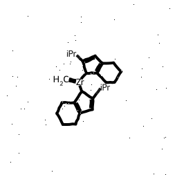 [CH2]=[Zr]([CH]1C(C(C)C)=CC2=C1CCCC2)[CH]1C(C(C)C)=CC2=C1CCCC2